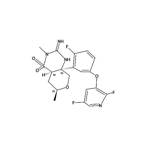 C[C@H]1C[C@@H]2[C@](c3cc(Oc4cc(F)cnc4F)ccc3F)(CO1)NC(=N)N(C)S2(=O)=O